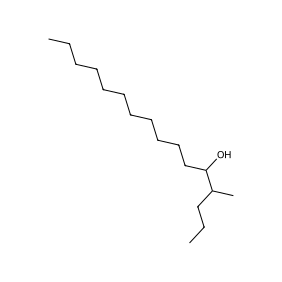 CCCCCCCCCCCC(O)C(C)CCC